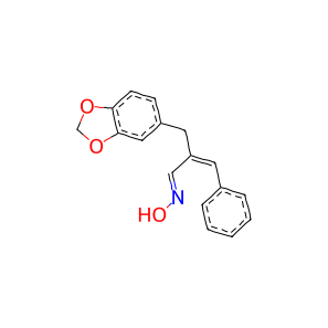 ON=CC(=Cc1ccccc1)Cc1ccc2c(c1)OCO2